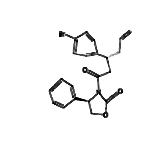 C=CC[C@H](CC(=O)N1C(=O)OC[C@H]1c1ccccc1)c1ccc(Br)cc1